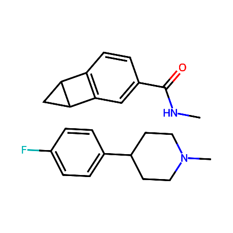 CN1CCC(c2ccc(F)cc2)CC1.CNC(=O)c1ccc2c(c1)C1CC21